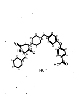 Cl.O=C1CN(C2CCN(Cc3ccc(Oc4ccc(C(=O)O)cc4)cc3)CC2)C(=O)[C@H](CC2CCCCC2)N1